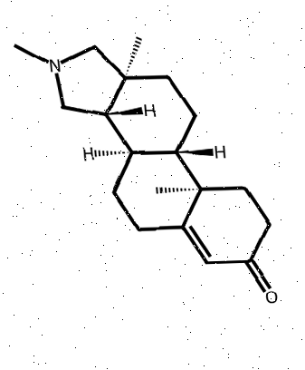 CN1C[C@H]2[C@@H]3CCC4=CC(=O)CC[C@]4(C)[C@H]3CC[C@]2(C)C1